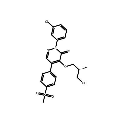 C[C@H](CO)COc1c(-c2ccc(S(C)(=O)=O)cc2)cnn(-c2cccc(Cl)c2)c1=O